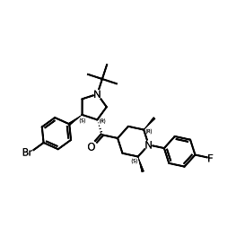 C[C@@H]1CC(C(=O)[C@H]2CN(C(C)(C)C)C[C@@H]2c2ccc(Br)cc2)C[C@H](C)N1c1ccc(F)cc1